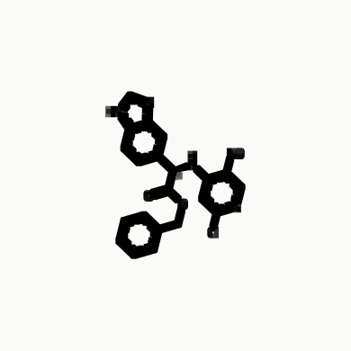 O=Nc1cnc(Cl)cc1N[C@@H](C(=O)OCc1ccccc1)c1ccc2[nH]cnc2c1